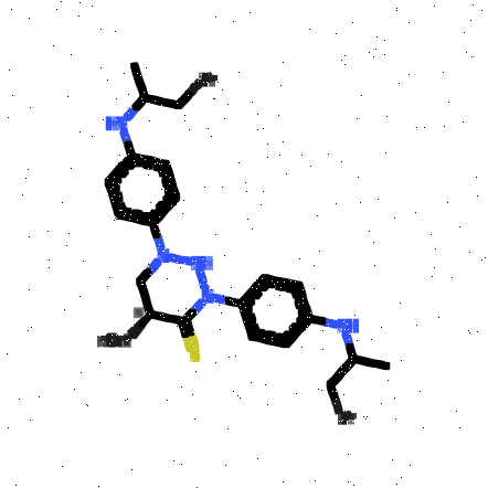 CCCCCCCC[C@H]1CN(c2ccc(NC(C)CC(C)C)cc2)NN(c2ccc(NC(C)CC(C)C)cc2)C1=S